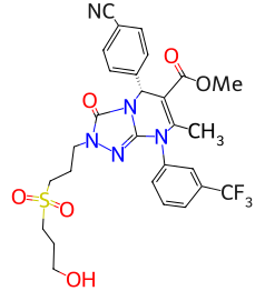 COC(=O)C1=C(C)N(c2cccc(C(F)(F)F)c2)c2nn(CCCS(=O)(=O)CCCO)c(=O)n2[C@@H]1c1ccc(C#N)cc1